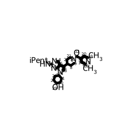 CCC[C@H](C)Nc1ncc2c(C3CCN(C(=O)c4cc(C)nc(C)c4)CC3)cn(C3CCC(O)CC3)c2n1